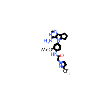 COc1cc(-n2c3c(c4ncnc(N)c42)CCC3)ccc1NC(=O)Cn1ccc(C(F)(F)F)n1